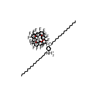 CCCCCCCCCCCCCCCCCC[NH2+]c1ccc(OCCCCCCCCCCCCCCCCCC)cc1.Fc1c(F)c(F)c2c([B-](c3c(F)c(F)c(F)c4c(F)c(F)c(F)c(F)c34)(c3c(F)c(F)c(F)c4c(F)c(F)c(F)c(F)c34)c3c(F)c(F)c(F)c4c(F)c(F)c(F)c(F)c34)c(F)c(F)c(F)c2c1F